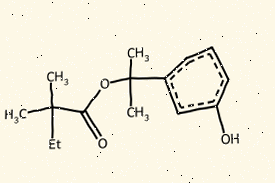 CCC(C)(C)C(=O)OC(C)(C)c1cccc(O)c1